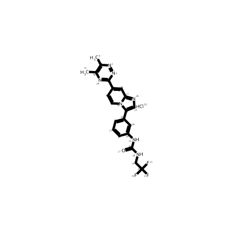 Cc1nnc(-c2ccn3c(-c4cccc(NC(=O)NCC(F)(F)F)c4)cnc3c2)nc1C.Cl